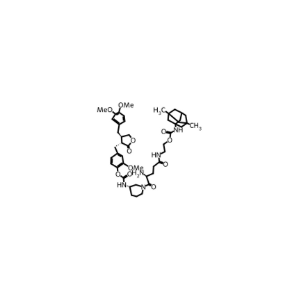 COc1ccc(C[C@H]2COC(=O)[C@@H]2Cc2ccc(OC(=O)N[C@H]3CCCN(C(=O)[C@@H](N)CCC(=O)NCCOC(=O)NC45CC6CC(C)(CC(C)(C6)C4)C5)C3)c(OC)c2)cc1OC